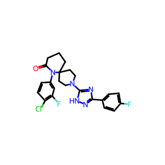 O=C1CCCC2(CCN(c3nc(-c4ccc(F)cc4)n[nH]3)CC2)N1c1ccc(Cl)c(F)c1